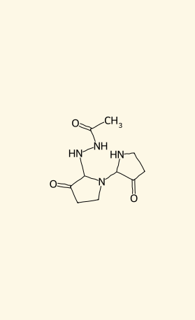 CC(=O)NNC1C(=O)CCN1C1NCCC1=O